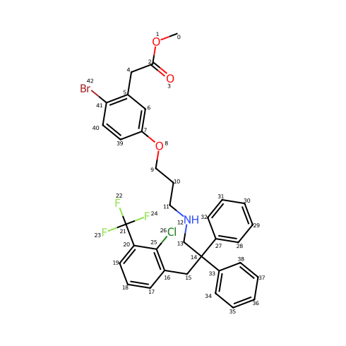 COC(=O)Cc1cc(OCCCNCC(Cc2cccc(C(F)(F)F)c2Cl)(c2ccccc2)c2ccccc2)ccc1Br